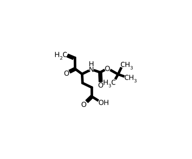 C=CC(=O)C(CCC(=O)O)NC(=O)OC(C)(C)C